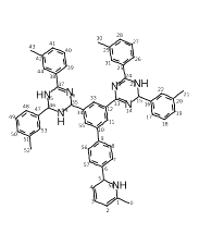 CC1=CC=CC(c2ccc(-c3cc(C4=NC(c5cccc(C)c5)NC(c5cccc(C)c5)=N4)cc(C4N=C(c5cccc(C)c5)NC(c5cccc(C)c5)N4)c3)cc2)N1